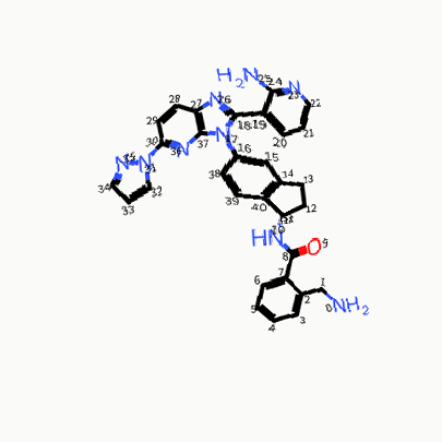 NCc1ccccc1C(=O)N[C@H]1CCc2cc(-n3c(-c4cccnc4N)nc4ccc(-n5cccn5)nc43)ccc21